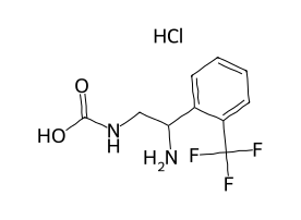 Cl.NC(CNC(=O)O)c1ccccc1C(F)(F)F